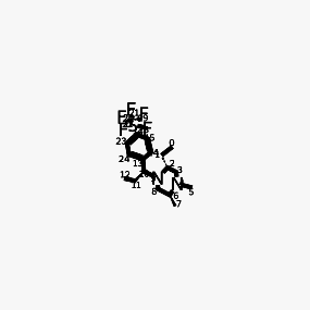 CC[C@@H]1CN(C)[C@@H](C)CN1[C@@H](CC)c1ccc(S(F)(F)(F)(F)F)cc1